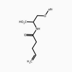 C=CCCC(=O)NC(COCCC)C(=O)O